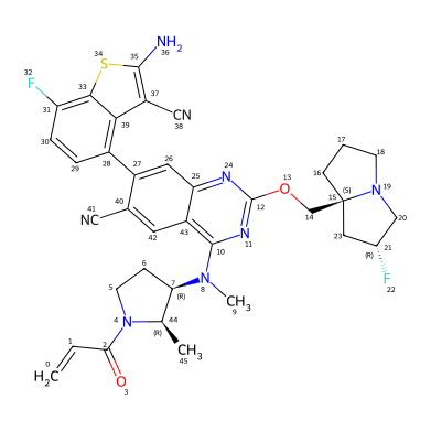 C=CC(=O)N1CC[C@@H](N(C)c2nc(OC[C@@]34CCCN3C[C@H](F)C4)nc3cc(-c4ccc(F)c5sc(N)c(C#N)c45)c(C#N)cc23)[C@H]1C